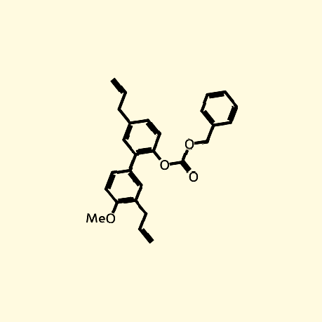 C=CCc1ccc(OC(=O)OCc2ccccc2)c(-c2ccc(OC)c(CC=C)c2)c1